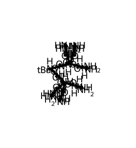 CC(C)(C)NC(COCCC(=O)NCCC(=O)NC(COCCC(=O)NCCNC(=N)N)(COCCC(=O)NCCNC(=N)N)COCCC(=O)NCCNC(=N)N)COCCC(=O)NCCC(=O)NC(COCCC(=O)NCCNC(=N)N)(COCCC(=O)NCCNC(=N)N)COCCC(=O)NCCNC(=N)N